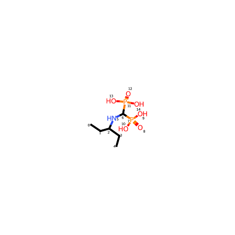 CCC(CC)NC(P(=O)(O)O)P(=O)(O)O